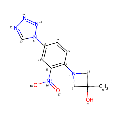 CC1(O)CN(c2ccc(-n3cnnn3)cc2[N+](=O)[O-])C1